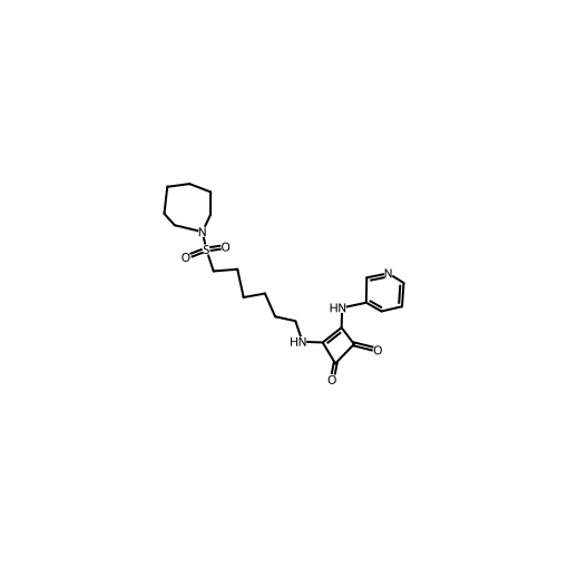 O=c1c(NCCCCCCS(=O)(=O)N2CCCCCC2)c(Nc2cccnc2)c1=O